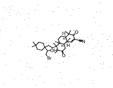 CC1C(=O)C[C@@H]2[C@@]3(C)C=C(C#N)C(=O)C(C)(C)[C@@H]3CC[C@@]2(C)C1(C)CCC1(C(O)CBr)CCC(C)(C)CC1